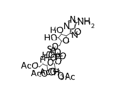 CC(=O)OC[C@H](F)C(OC(OP(=O)(O)OP(O)(=S)OCC1OC(c2noc3c(N)ncnc23)C(O)C1O)[C@@H](COC(C)=O)OC(C)=O)[C@H](C)OC(C)=O